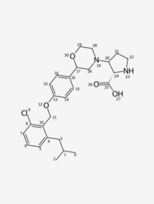 CC(C)Cc1cccc(Cl)c1COc1ccc(C2CN(C3CCN[C@@H]3C(=O)O)CCO2)cc1